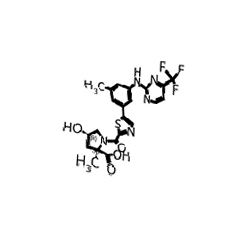 Cc1cc(Nc2nccc(C(F)(F)F)n2)cc(-c2cnc(C(=O)N3C[C@H](O)C[C@]3(C)C(=O)O)s2)c1